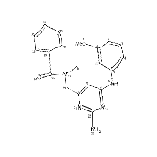 COc1cccc(Nc2cc(CN(C)C(=O)c3ccccc3)nc(N)n2)c1